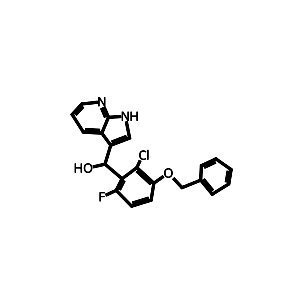 OC(c1c(F)ccc(OCc2ccccc2)c1Cl)c1c[nH]c2ncccc12